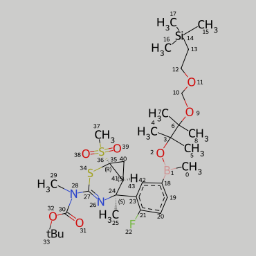 CB(OC(C)(C)C(C)(C)OCOCC[Si](C)(C)C)c1ccc(F)c([C@@]2(C)N=C(N(C)C(=O)OC(C)(C)C)S[C@@]3(S(C)(=O)=O)C[C@H]32)c1